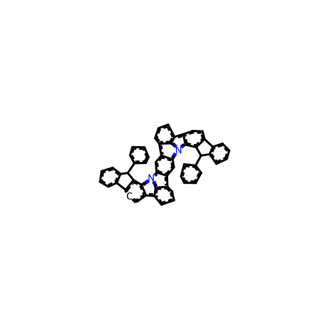 c1ccc(C2c3ccccc3-c3ccc4c5cccc6c7cc8c(cc7n(c4c32)c65)c2cccc3c4ccc5c(c4n8c23)C(c2ccccc2)c2ccccc2-5)cc1